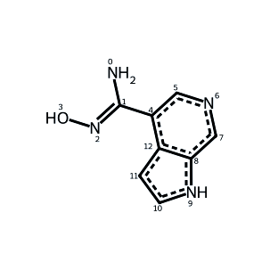 NC(=NO)c1cncc2[nH]ccc12